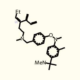 C=CC(=C)/C(=C\CC)CCN(C)Cc1ccc(ON(C)c2ccc(C(C)(C)NC)cc2C)cc1